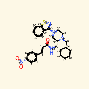 O=C(/C=C/c1ccc([N+](=O)[O-])cc1)NC[C@H]1CCCC[C@@H]1CN1CCN(c2nsc3ccccc23)CC1